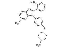 Cc1ccc2nc(-c3cccnc3N)n(-c3ccc(CN4CCC(N)CC4)cc3)c2n1